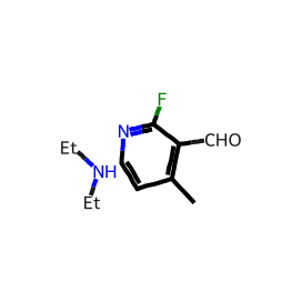 CCNCC.Cc1ccnc(F)c1C=O